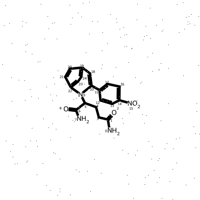 NC(=O)CCC(C(N)=O)N1C(c2ccc([N+](=O)[O-])cc2)=Cc2ccc1cc2